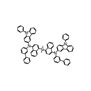 C[Si](C)(c1ccc(N(c2cccc(-c3ccccc3)c2)c2ccc3c(c2)c2ccccc2n3-c2ccccc2)c2ccccc12)c1ccc(N(c2cccc(-c3ccccc3)c2)c2ccc3c(c2)c2ccccc2n3-c2ccccc2)c2ccccc12